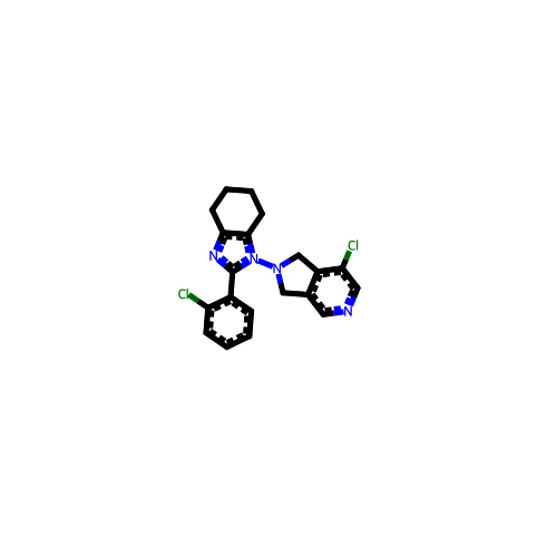 Clc1ccccc1-c1nc2c(n1N1Cc3cncc(Cl)c3C1)CCCC2